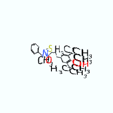 CC(c1ccccc1)N1CSC(CCc2cc(C(C)(C)C)c(O)c(C(C)(C)C)c2)C1=O